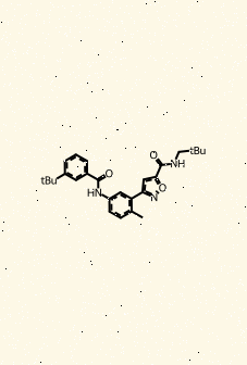 Cc1ccc(NC(=O)c2cccc(C(C)(C)C)c2)cc1-c1cc(C(=O)NCC(C)(C)C)on1